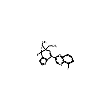 CCC1(CC)N=C(c2cnc3c(F)cccc3n2)c2sccc2C1(F)F